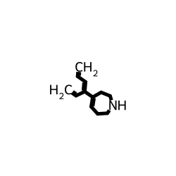 C=C/C=C(\C=C)C1=CCCNCC1